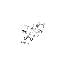 CC(C)OC(=O)C1CC(Cc2ccccc2C(C)(C)C)C(C)C1=O